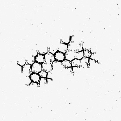 [2H]C([2H])([2H])N(CCN(C([2H])([2H])[2H])C([2H])([2H])[2H])c1cc(OC)c(Nc2ncc(C(=O)OC(C)C)c(N3CC(C)(C)c4nc(C)ccc43)n2)cc1NC(=O)C=C